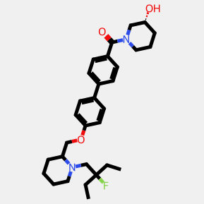 CCC(F)(CC)CN1CCCCC1COc1ccc(-c2ccc(C(=O)N3CCC[C@@H](O)C3)cc2)cc1